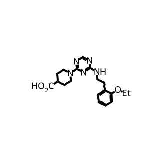 CCOc1ccccc1CCNc1ncnc(N2CCC(C(=O)O)CC2)n1